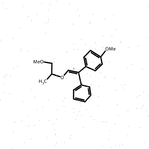 COCC(C)O/C=C(\c1ccccc1)c1ccc(OC)cc1